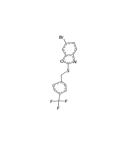 FC(F)(F)c1ccc(CSc2nc3ccc(Br)cc3o2)cc1